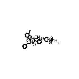 Cc1c(-c2cccc(OC3CCN(S(C)(=O)=O)CC3)c2F)c(=O)n(CC(N)c2ccccc2)c(=O)n1Cc1c(F)cccc1C(F)(F)F